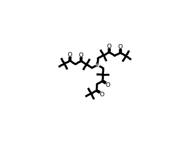 CC(C)(C)C(=O)CC(=O)C(C)(C)[CH2][Ir]([CH2]C(C)(C)C(=O)CC(=O)C(C)(C)C)[CH2]C(C)(C)C(=O)CC(=O)C(C)(C)C